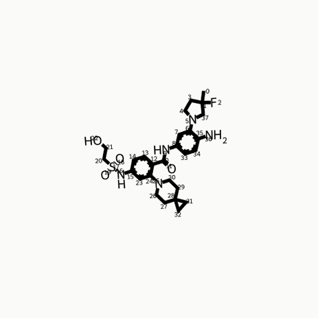 CC1(F)CCN(c2cc(NC(=O)c3ccc(NS(=O)(=O)CCO)cc3N3CCC4(CC3)CC4)ccc2N)C1